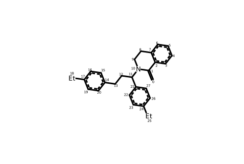 C=C1c2ccccc2CCN1C(CCc1ccc(CC)cc1)c1ccc(CC)cc1